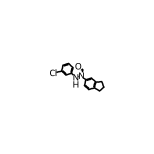 O=CN(Nc1cccc(Cl)c1)c1ccc2c(c1)CCC2